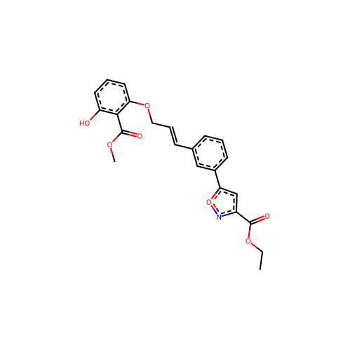 CCOC(=O)c1cc(-c2cccc(C=CCOc3cccc(O)c3C(=O)OC)c2)on1